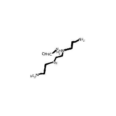 NC=O.NCCNCCNCCN